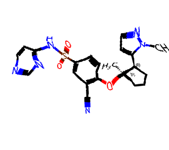 Cn1nccc1[C@H]1CCC[C@@]1(C)Oc1ccc(S(=O)(=O)Nc2ccncn2)cc1C#N